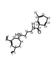 C=CC1=CC(C=C)CCC(NCCCNC(=O)C2=CC(C)=CCC=C2)C1